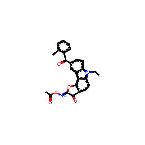 CCn1c2ccc(C(=O)c3ccccc3C)cc2c2c3c(ccc21)C(=O)/C(=N/OC(C)=O)O3